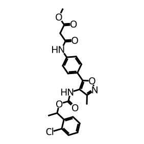 COC(=O)CC(=O)Nc1ccc(-c2onc(C)c2NC(=O)OC(C)c2ccccc2Cl)cc1